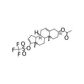 CC(=O)O[C@H]1CC[C@@]2(C)C(=CC[C@@H]3C2CC[C@]2(C)C(OS(=O)(=O)C(F)(F)F)=CCC32)C1